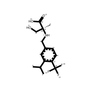 CC(C)c1cc(CN[C@@](C)(CO)C(=O)O)ccc1C(F)(F)F